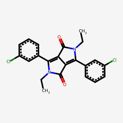 CCN1C(=O)C2=C(c3cccc(Cl)c3)N(CC)C(=O)C2=C1c1cccc(Cl)c1